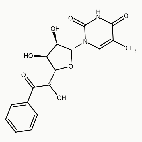 Cc1cn([C@@H]2O[C@H](C(O)C(=O)c3ccccc3)[C@@H](O)[C@H]2O)c(=O)[nH]c1=O